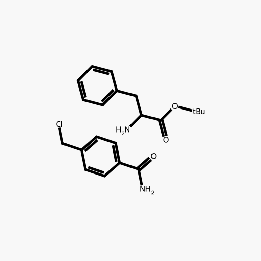 CC(C)(C)OC(=O)C(N)Cc1ccccc1.NC(=O)c1ccc(CCl)cc1